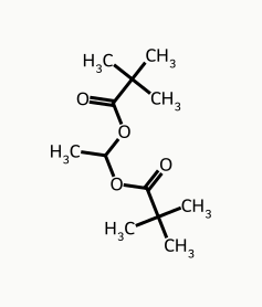 CC(OC(=O)C(C)(C)C)OC(=O)C(C)(C)C